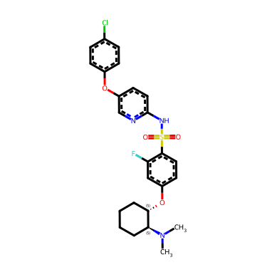 CN(C)[C@H]1CCCC[C@@H]1Oc1ccc(S(=O)(=O)Nc2ccc(Oc3ccc(Cl)cc3)cn2)c(F)c1